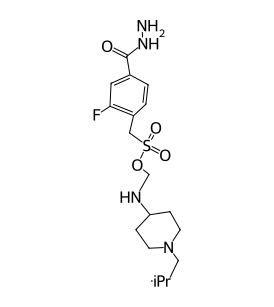 C[C](C)CN1CCC(NCOS(=O)(=O)Cc2ccc(C(=O)NN)cc2F)CC1